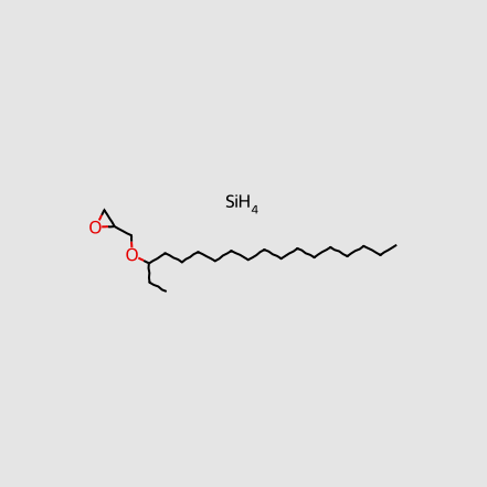 CCCCCCCCCCCCCCCC(CC)OCC1CO1.[SiH4]